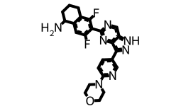 NC1CCCc2c1cc(F)c(-c1ncc3[nH]nc(-c4ccc(N5CCOCC5)nc4)c3n1)c2F